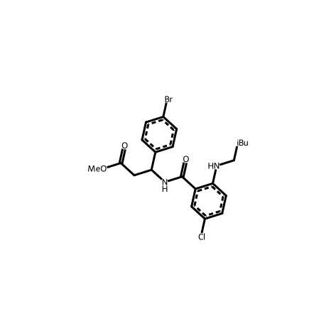 CCC(C)CNc1ccc(Cl)cc1C(=O)NC(CC(=O)OC)c1ccc(Br)cc1